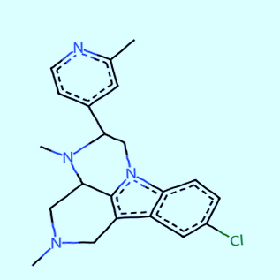 Cc1cc(C2Cn3c4c(c5cc(Cl)ccc53)CN(C)CC4N2C)ccn1